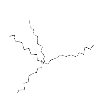 CCCCCCCCCCCC[N+](CCCCCCCCC)(CCCCCCCCC)CCCCCCCCC